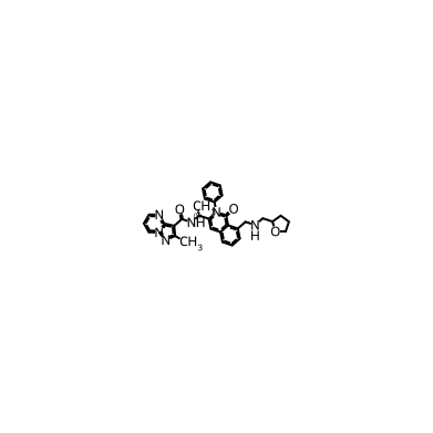 Cc1nn2cccnc2c1C(=O)N[C@@H](C)c1cc2cccc(CNCC3CCCO3)c2c(=O)n1-c1ccccc1